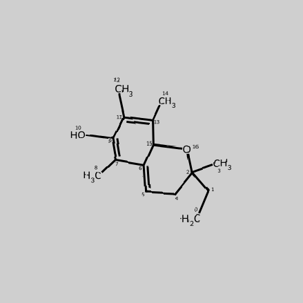 [CH2]CC1(C)CC=C2C(C)=C(O)C(C)=C(C)C2O1